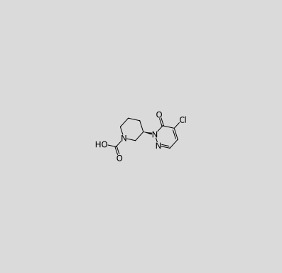 O=C(O)N1CCC[C@@H](n2nccc(Cl)c2=O)C1